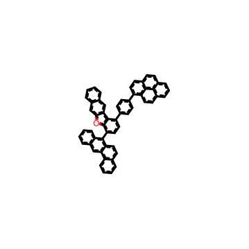 c1ccc2cc3c(cc2c1)oc1c(-c2c4ccccc4cc4c2ccc2ccccc24)ccc(-c2ccc(-c4ccc5ccc6cccc7ccc4c5c67)cc2)c13